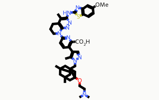 COc1ccc2sc(Nc3nnc4c(c3C)CCCN4c3ccc(-c4cnn(CC56CC7(C)CC(C)(C5)CC(OCCN(C)C)(C7)C6)c4C)c(C(=O)O)n3)nc2c1